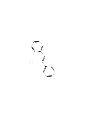 Br.C(=C\c1ccccc1)/c1ccccc1